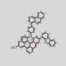 CC(C)(C)c1cc(-c2cccc3cccc(-c4ccccc4N(c4ccc(-c5cccc6c5ccc5ccccc56)cc4)c4cccc(-c5cccc6c5oc5ccccc56)c4)c23)cc(C(C)(C)C)c1